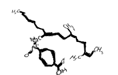 C/C=C(/C)CC/C=C(/C)CC/C=C(/C)CCC=CCC.O=C(O)c1ccc([N+](=O)[O-])cc1